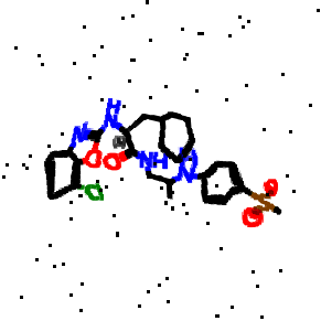 CC(CNC(=O)[C@H](CC1CCCCC1)Nc1nc2cccc(Cl)c2o1)Nc1ccc(S(C)(=O)=O)cc1